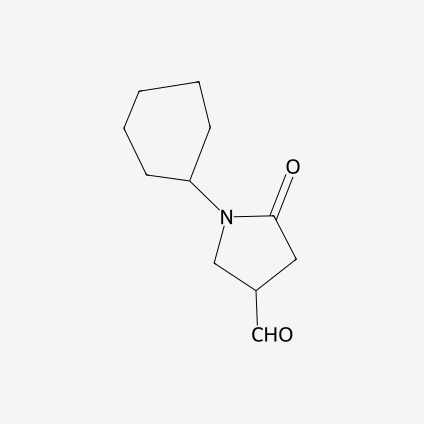 O=CC1CC(=O)N(C2CCCCC2)C1